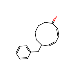 O=C1C=CC=CC(Cc2ccccc2)CCCC1